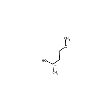 COCC[C@H](C)O